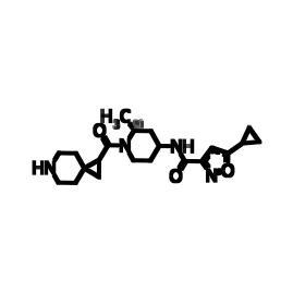 C[C@H]1CC(NC(=O)c2cc(C3CC3)on2)CCN1C(=O)C1CC12CCNCC2